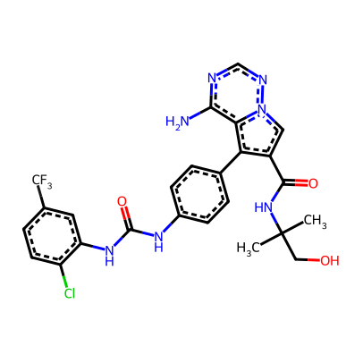 CC(C)(CO)NC(=O)c1cn2ncnc(N)c2c1-c1ccc(NC(=O)Nc2cc(C(F)(F)F)ccc2Cl)cc1